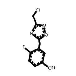 N#Cc1ccc(F)c(-c2nc(CCl)no2)c1